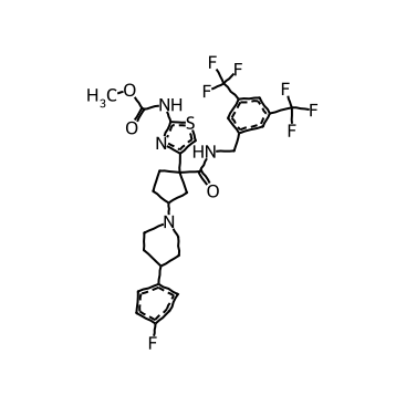 COC(=O)Nc1nc(C2(C(=O)NCc3cc(C(F)(F)F)cc(C(F)(F)F)c3)CCC(N3CCC(c4ccc(F)cc4)CC3)C2)cs1